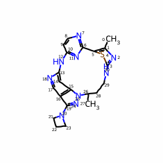 Cc1nc2sc1-c1nccc(n1)Nc1cc3c(cn1)c(N1CCC1)nn3C(C)CCN2